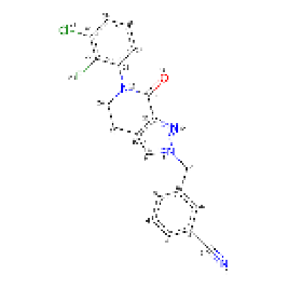 N#Cc1cccc(Cn2cc3c(n2)C(=O)N(c2cccc(Cl)c2F)CC3)c1